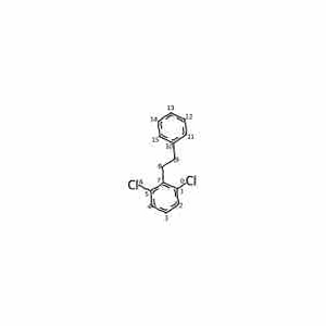 Clc1cccc(Cl)c1C[CH]c1ccccc1